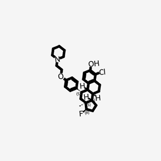 C[C@]12C[C@H](c3ccc(OCCN4CCCCC4)cc3)[C@@H]3c4ccc(O)c(Cl)c4CC[C@H]3[C@@H]1CC[C@H]2F